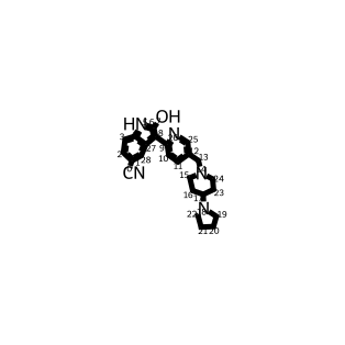 N#Cc1ccc2[nH]c(O)c(-c3ccc(CN4CCC(N5CCCC5)CC4)cn3)c2c1